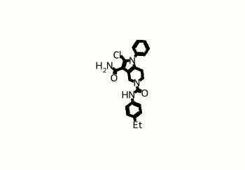 CCc1ccc(NC(=O)N2CCc3c(c(C(N)=O)c(Cl)n3-c3ccccc3)C2)cc1